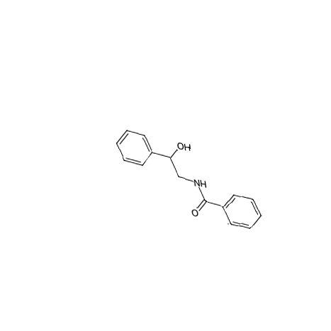 O=C(NCC(O)c1ccccc1)c1[c]cccc1